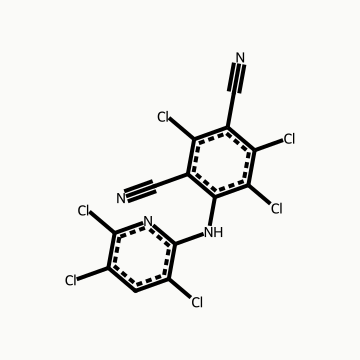 N#Cc1c(Cl)c(Cl)c(Nc2nc(Cl)c(Cl)cc2Cl)c(C#N)c1Cl